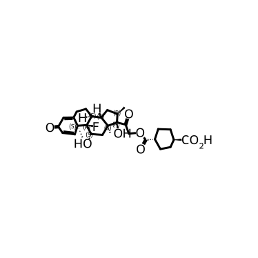 C[C@@H]1C[C@H]2[C@@H]3CCC4=CC(=O)C=C[C@]4(C)[C@@]3(F)[C@@H](O)C[C@]2(C)[C@@]1(O)C(=O)COC(=O)[C@H]1CC[C@H](C(=O)O)CC1